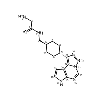 NCC(=O)NC[C@H]1CC[C@H](c2nnn3cnc4[nH]ccc4c23)CC1